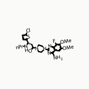 CCCN[C@H](CC(=O)N1CCN(c2nc(N)c3cc(OC)c(OC)c(F)c3n2)CC1)c1ccc(Cl)s1